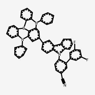 N#Cc1ccc(-n2c3ccccc3c3cc(-c4cc5c6c(c4)N(c4ccccc4)c4ccccc4B6c4ccccc4N5c4ccccc4)ccc32)c(-c2cc(F)cc(F)c2)c1